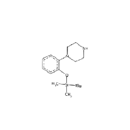 CC(C)(C)[Si](C)(C)Oc1ccccc1N1CCNCC1